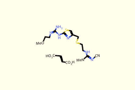 CN/C(=N/C#N)NCCSCc1csc(N/C(N)=N\CCOC)n1.O=C(O)/C=C/C(=O)O